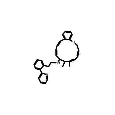 C/C1=C/C=C\COc2ccccc2C=C/C=C\C(NCCc2ccccc2-c2ccccn2)C1C